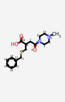 CN1CCN(C(=O)CC(CSCc2ccccc2)C(=O)O)CC1